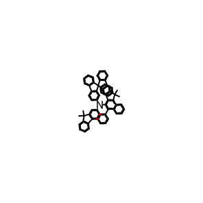 CC1(C)c2ccccc2-c2ccc(N(c3ccc4c(c3)C3(c5ccccc5-c5ccccc53)c3ccccc3-4)c3c4c(c5ccccc5c3-c3ccccc3)C(C)(C)c3ccccc3-4)cc21